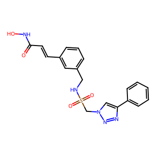 O=C(C=Cc1cccc(CNS(=O)(=O)Cn2cc(-c3ccccc3)nn2)c1)NO